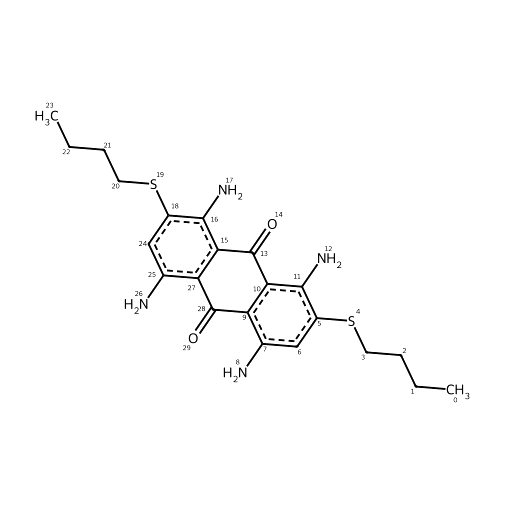 CCCCSc1cc(N)c2c(c1N)C(=O)c1c(N)c(SCCCC)cc(N)c1C2=O